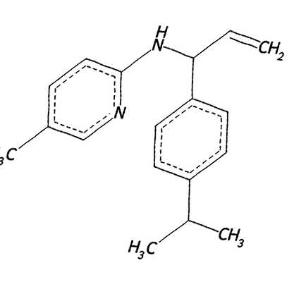 C=CC(Nc1ccc(C)cn1)c1ccc(C(C)C)cc1